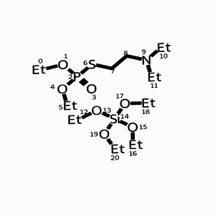 CCOP(=O)(OCC)SCCN(CC)CC.CCO[Si](OCC)(OCC)OCC